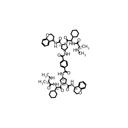 CN[C@@H](C)C(=O)N[C@H](C(=O)N1C[C@@H](NC(=O)c2ccc(C(=O)N[C@H]3C[C@@H](C(=O)N[C@@H]4CCOc5ccccc54)N(C(=O)[C@@H](NC(=O)[C@H](C)NC)C4CCCCC4)C3)cc2)C[C@H]1C(=O)N[C@@H]1CCOc2ccccc21)C1CCCCC1